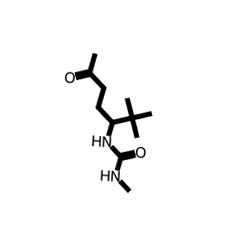 CNC(=O)NC(CCC(C)=O)C(C)(C)C